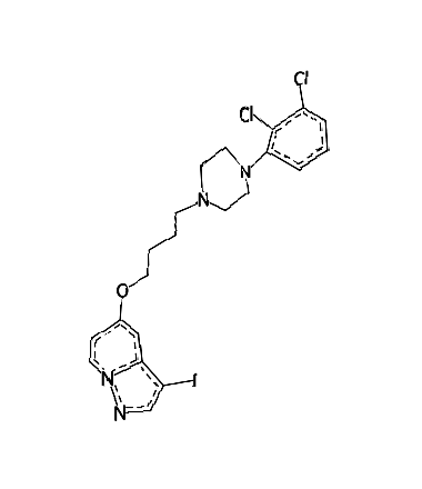 Clc1cccc(N2CCN(CCCCOc3ccn4ncc(I)c4c3)CC2)c1Cl